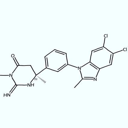 Cc1nc2cc(Cl)c(Cl)cc2n1-c1cccc([C@]2(C)CC(=O)N(C)C(=N)N2)c1